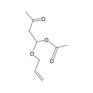 C=CCOC(CC(C)=O)OC(C)=O